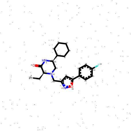 CC(C)C[C@H]1C(=O)N[C@@H](C2CCCCC2)CN1Cc1cc(-c2ccc(F)cc2)on1